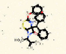 C=C(C)C(C(=O)O)N1C(=O)C2(C(c3ccccc3)c3ccccc3)N=C(Oc3ccccc3)SSC12